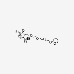 CCN(CC)C(=O)C(CCOCCOCCOCCOC1CCCCO1)C(=O)N(CC)CC